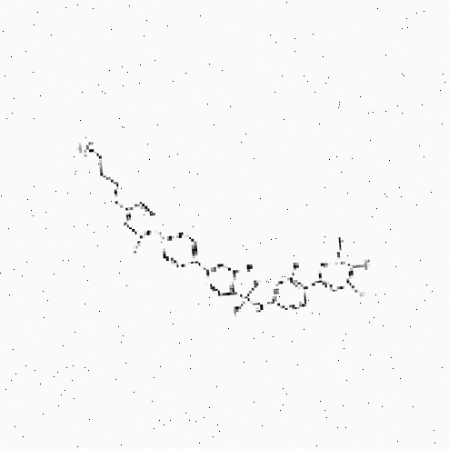 CCCCCc1ccc(-c2ccc(-c3ccc(C(F)(F)Oc4ccc(-c5cc(F)c(F)c(F)c5)c(F)c4)c(F)c3)cc2)c(F)c1